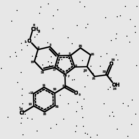 COC1C=c2c3c(n(C(=O)c4ccc(Cl)cc4)c2=CC1)C(CC(=O)O)CC3